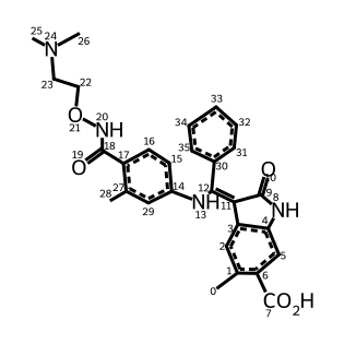 Cc1cc2c(cc1C(=O)O)NC(=O)C2=C(Nc1ccc(C(=O)NOCCN(C)C)c(C)c1)c1ccccc1